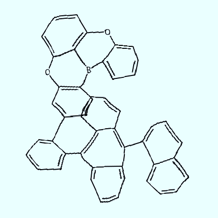 c1ccc2c(c1)Oc1cccc3c1B2c1ccc(-c2ccccc2-c2c4ccccc4c(-c4cccc5ccccc45)c4ccccc24)cc1O3